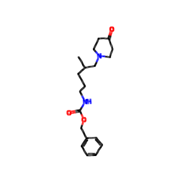 CC(CCCNC(=O)OCc1ccccc1)CN1CCC(=O)CC1